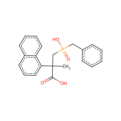 CC(CP(=O)(O)Cc1ccccc1)(C(=O)O)c1cccc2ccccc12